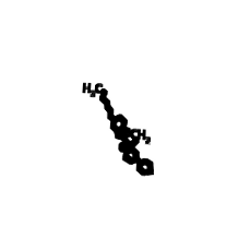 C=Cc1c(-c2cc3c(o2)CCC(CCCCCCC)C3)oc2ccc(C3CCCCC3)cc12